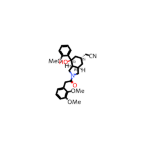 COc1ccccc1[C@]1(O)C[C@H](CC#N)C[C@H]2CN(C(=O)Cc3cccc(OC)c3OC)C[C@H]21